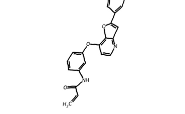 C=CC(=O)Nc1cccc(Oc2ccnc3cc(-c4ccccc4)oc23)c1